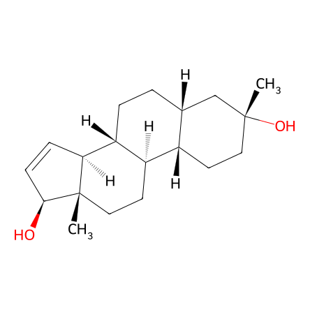 C[C@@]1(O)CC[C@H]2[C@H](CC[C@@H]3[C@@H]2CC[C@]2(C)[C@@H](O)C=C[C@@H]32)C1